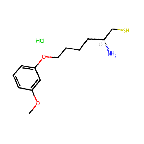 COc1cccc(OCCCC[C@@H](N)CS)c1.Cl